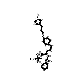 Cn1cnc(CCCOc2ccc(/C=C\CC(NS(=O)(=O)c3ccccc3)C(=O)OC(C)(C)C)cc2)c1